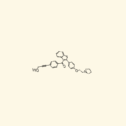 O=C(c1ccc(C#CCO)cc1)c1c(-c2ccc(OCCN3CCCC3)cc2)sc2ccccc12